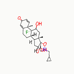 C[C@]12C=CC(=O)C=C1CC[C@H]1[C@@H]3C[C@H]4CN(CC5CC5)O[C@@]4(C(=O)O)[C@@]3(C)C[C@H](O)[C@@]12F